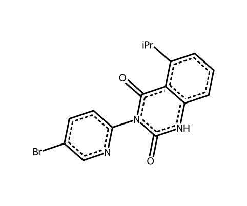 CC(C)c1cccc2[nH]c(=O)n(-c3ccc(Br)cn3)c(=O)c12